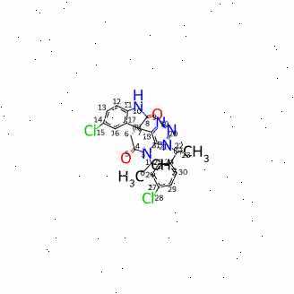 CC(C)N1C(=O)C[C@]2(C(=O)Nc3ccc(Cl)cc32)c2nnn([C@@H](C)c3ccc(Cl)cc3)c21